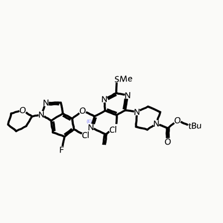 C=C(Cl)/N=C(/Oc1c(Cl)c(F)cc2c1cnn2C1CCCCO1)c1nc(SC)nc(N2CCN(C(=O)OC(C)(C)C)CC2)c1C